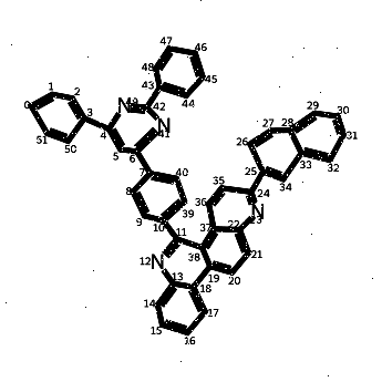 c1ccc(-c2cc(-c3ccc(-c4nc5ccccc5c5ccc6nc(-c7ccc8ccccc8c7)ccc6c45)cc3)nc(-c3ccccc3)n2)cc1